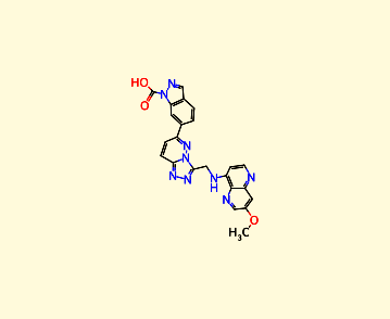 COc1cnc2c(NCc3nnc4ccc(-c5ccc6cnn(C(=O)O)c6c5)nn34)ccnc2c1